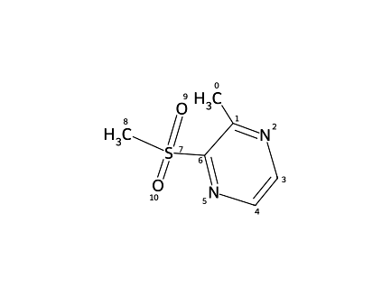 Cc1nccnc1S(C)(=O)=O